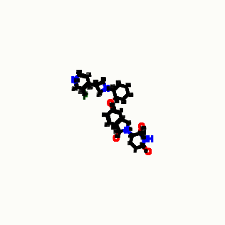 O=C1CCC(N2Cc3cc(O[C@H]4CCCCC4N4CC(c5ccncc5F)C4)ccc3C2=O)C(=O)N1